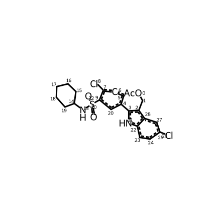 CC(=O)OCc1c(-c2ccc(Cl)c(S(=O)(=O)NC3CCCCC3)c2)[nH]c2ccc(Cl)cc12